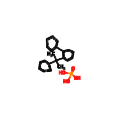 CC(C)(c1ccccc1)c1ccccc1-c1ccccc1.O=P(O)(O)O